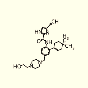 C#Cc1c[nH]c(C(=O)Nc2ccc(CN3CCN(CCO)CC3)cc2C2=CCC(C)(C)CC2)n1